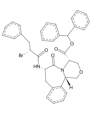 O=C(N[C@H]1Cc2ccccc2[C@H]2COC[C@@H](C(=O)OC(c3ccccc3)c3ccccc3)N2C1=O)[C@H](Br)Cc1ccccc1